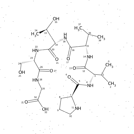 CC(C)[C@H](NC(=O)[C@@H]1CCCN1)C(=O)N[C@H](C(=O)N[C@H](C(=O)N[C@@H](CO)C(=O)NCC(=O)O)[C@@H](C)O)C(C)C